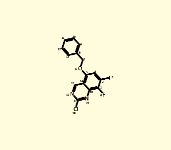 Fc1c(I)cc(OCc2ccccc2)c2cnc(Cl)nc12